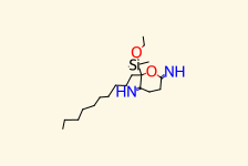 CCCCCCCCCCC1([Si](C)(C)OCC)OC(=N)CCC1=N